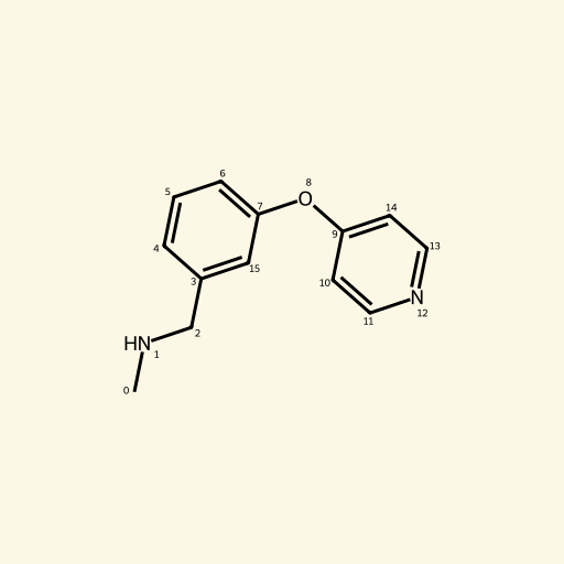 CNCc1cccc(Oc2ccncc2)c1